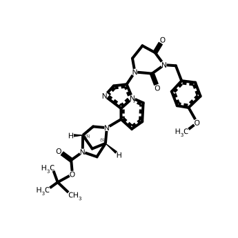 COc1ccc(CN2C(=O)CCN(c3cnc4c(N5C[C@@H]6C[C@H]5CN6C(=O)OC(C)(C)C)cccn34)C2=O)cc1